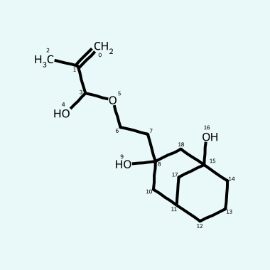 C=C(C)C(O)OCCC1(O)CC2CCCC(O)(C2)C1